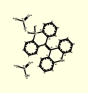 C[N+]1(C)c2ccccc2C(=C2c3ccccc3Nc3ccccc32)c2ccccc21.O=[N+]([O-])O.O=[N+]([O-])[O-]